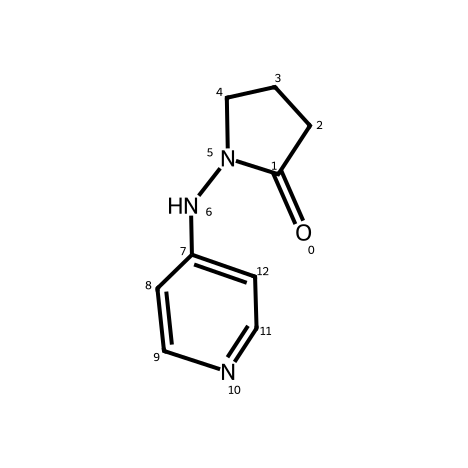 O=C1CCCN1Nc1ccncc1